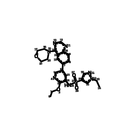 CCOc1ncc(-c2ccc3ncnc(N4CCOCC4)c3c2)cc1NS(=O)(=O)c1cnn(CC)c1